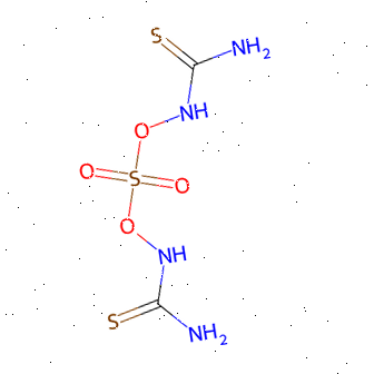 NC(=S)NOS(=O)(=O)ONC(N)=S